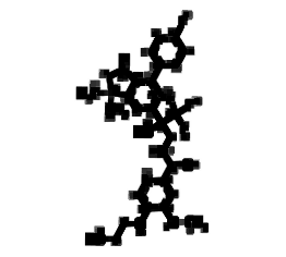 COc1cc(C(=O)NCC(O)(c2cc3c(c(-c4ccc(F)cc4)n2)NCC3(C)N)C(F)(F)F)ncc1OCCO